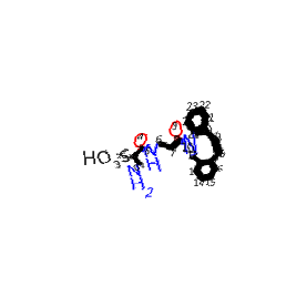 NCC(C(=O)NCCC(=O)N1Cc2ccccc2C#Cc2ccccc21)S(=O)(=O)O